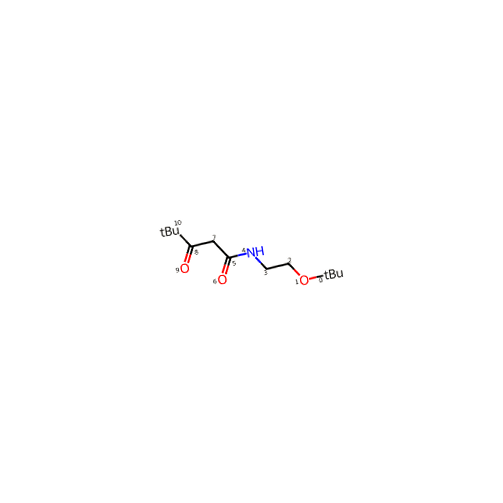 CC(C)(C)OCCNC(=O)CC(=O)C(C)(C)C